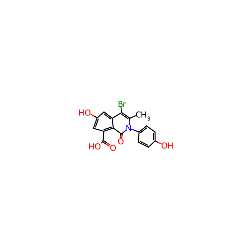 Cc1c(Br)c2cc(O)cc(C(=O)O)c2c(=O)n1-c1ccc(O)cc1